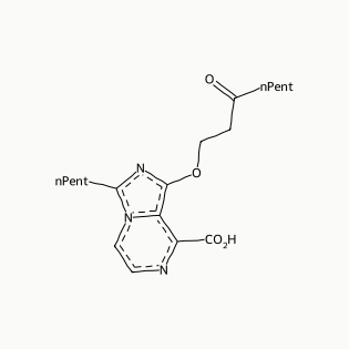 CCCCCC(=O)CCOc1nc(CCCCC)n2ccnc(C(=O)O)c12